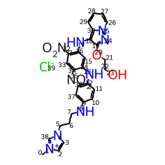 C[n+]1ccn(CCCNc2ccc(Nc3cc(Nc4c(OCCO)nn5ccccc45)c([N+](=O)[O-])cc3[N+](=O)[O-])cc2)c1.[Cl-]